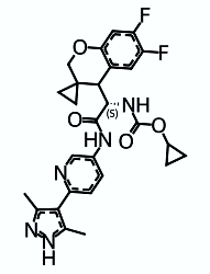 Cc1n[nH]c(C)c1-c1ccc(NC(=O)[C@@H](NC(=O)OC2CC2)C2c3cc(F)c(F)cc3OCC23CC3)cn1